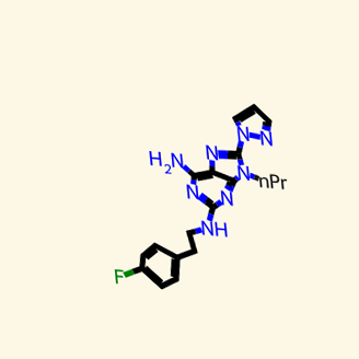 CCCn1c(-n2cccn2)nc2c(N)nc(NCCc3ccc(F)cc3)nc21